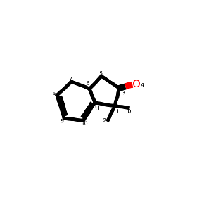 CC1(C)C(=O)CC2CC=CC=C21